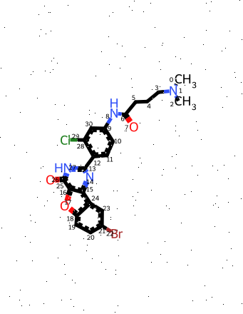 CN(C)CCCC(=O)Nc1ccc(-c2nc3c(oc4ccc(Br)cc43)c(=O)[nH]2)c(Cl)c1